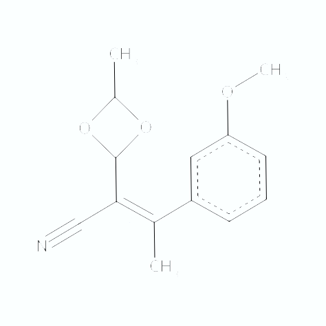 COc1cccc(/C(C)=C(/C#N)C2OC(C)O2)c1